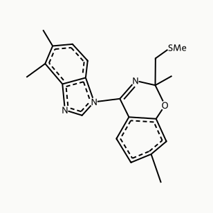 CSCC1(C)N=C(n2cnc3c(C)c(C)ccc32)c2ccc(C)cc2O1